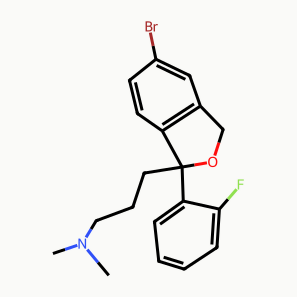 CN(C)CCCC1(c2ccccc2F)OCc2cc(Br)ccc21